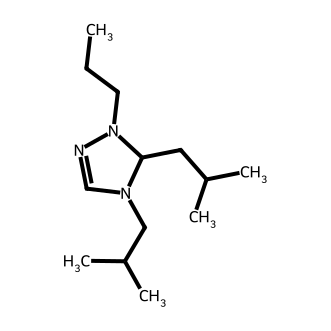 CCCN1N=CN(CC(C)C)C1CC(C)C